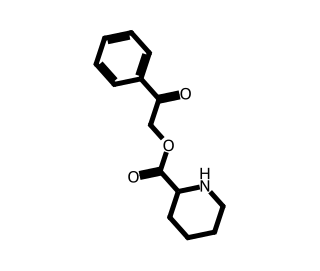 O=C(COC(=O)C1CCCCN1)c1ccccc1